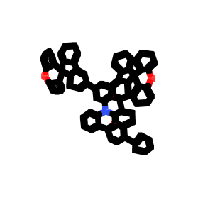 c1ccc(-c2ccc(-c3ccccc3N(c3cccc(-c4ccc5c(c4)-c4ccccc4C54c5ccccc5Oc5ccccc54)c3)c3ccccc3-c3ccc4c(c3)C3(c5ccccc5Oc5ccccc53)c3ccccc3-4)cc2)cc1